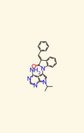 CC(C)n1cc(N2C(=O)C(=Cc3ccccc3)c3ccccc32)c2c(N)ncnc21